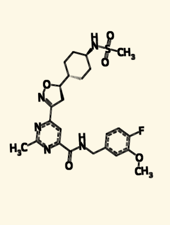 COc1cc(CNC(=O)c2cc(C3=NO[C@@H]([C@H]4CC[C@H](NS(C)(=O)=O)CC4)C3)nc(C)n2)ccc1F